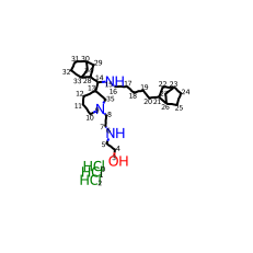 Cl.Cl.Cl.OCCNCCN1CCCC(C(NCCCCCC2CC3CCC2C3)C2CC3CCC2C3)C1